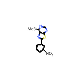 CSc1ncnc2sc(-c3cccc([N+](=O)[O-])c3)nc12